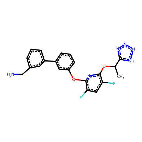 CC(Oc1nc(Oc2cccc(-c3cccc(CN)c3)c2)c(F)cc1F)c1nnn[nH]1